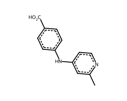 Cc1cc(Nc2ccc(C(=O)O)cc2)ccn1